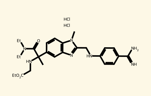 CCOC(=O)CNC(C)(C(=O)N(CC)CC)c1ccc2c(c1)nc(CNc1ccc(C(=N)N)cc1)n2C.Cl.Cl